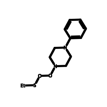 CCSOON1CCN(c2ccccc2)CC1